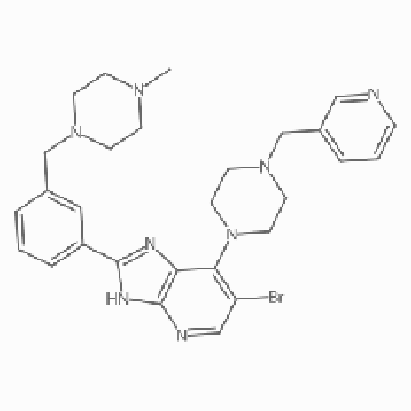 CN1CCN(Cc2cccc(-c3nc4c(N5CCN(Cc6cccnc6)CC5)c(Br)cnc4[nH]3)c2)CC1